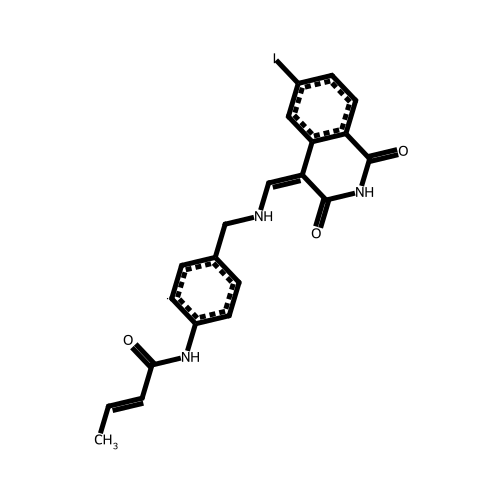 C/C=C/C(=O)Nc1[c]cc(CNC=C2C(=O)NC(=O)c3ccc(I)cc32)cc1